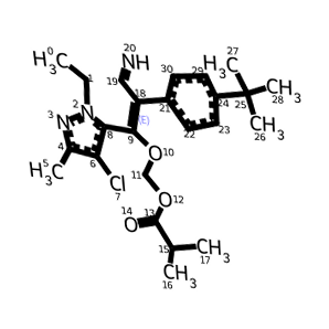 CCn1nc(C)c(Cl)c1/C(OCOC(=O)C(C)C)=C(\C=N)c1ccc(C(C)(C)C)cc1